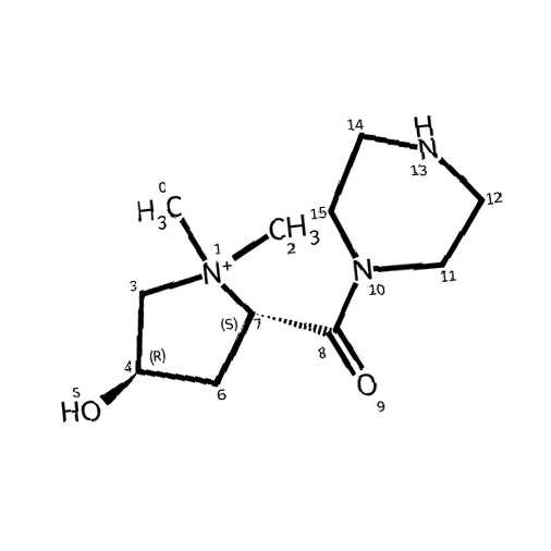 C[N+]1(C)C[C@H](O)C[C@H]1C(=O)N1CCNCC1